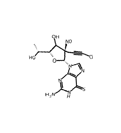 C[C@@H](O)[C@H]1O[C@@H](n2cnc3c(=S)[nH]c(N)nc32)[C@](C#CCl)(N=O)C1O